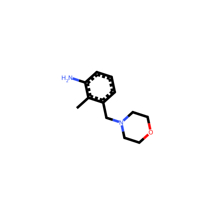 Cc1c(N)cccc1CN1CCOCC1